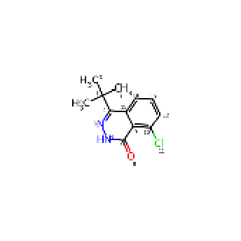 CC(C)(C)c1n[nH]c(=O)c2c(Cl)cccc12